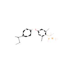 CCC(C)c1ccc(Oc2cc(C)c(S(=O)(=O)O)c(C)c2)cc1